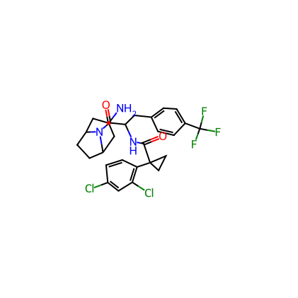 NC1CC2CCC(C1)N2C(=O)C(Cc1ccc(C(F)(F)F)cc1)NC(=O)C1(c2ccc(Cl)cc2Cl)CC1